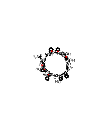 CCCC[C@H]1C(=O)N2C[C@H](O)C[C@@H]2C(=O)N[C@@H](CC(O)=P)C(=O)N[C@@H](C(C)C)C(=O)N(C)[C@@H](Cc2ccccc2)C(=O)N[C@@H](Cc2ccc(O)cc2)C(=O)N(C)CC(=O)N[C@@H](Cc2c[nH]c3ccccc23)C(=O)N[C@@H](Cc2ccc(O)cc2)C(=O)N[C@@H](CC(C)C)C(=O)N[C@H](C(=O)NCC(N)=O)CSCC(=O)N[C@@H](Cc2ccccc2)C(=O)N(C)[C@@H](Cc2ccccc2)C(=O)N1C